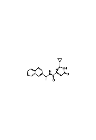 CC(NC(=O)c1cc(=O)[nH]c(C2CC2)n1)c1ccc2ccccc2c1